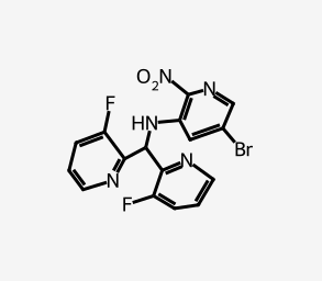 O=[N+]([O-])c1ncc(Br)cc1NC(c1ncccc1F)c1ncccc1F